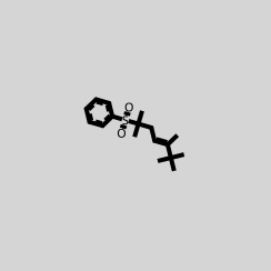 C/C(=C\CC(C)(C)S(=O)(=O)c1ccccc1)C(C)(C)C